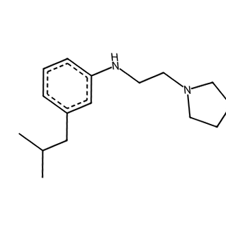 CC(C)Cc1cccc(NCCN2CCCC2)c1